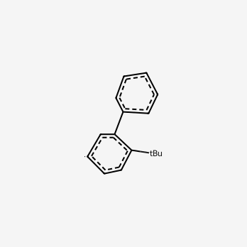 CC(C)(C)c1cc[c]cc1-c1ccccc1